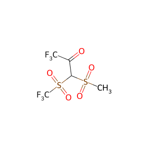 CS(=O)(=O)C(C(=O)C(F)(F)F)S(=O)(=O)C(F)(F)F